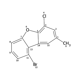 Cc1cc(Cl)c2oc3cccc(Br)c3c2c1